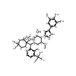 CO[C@H]1C[SH]([C@@H](c2nccc(C(F)(F)F)c2C)C2(O)CCC(F)(F)CC2)[C@H](CO)[C@H](O)[C@@H]1n1cc(-c2cc(F)c(F)c(F)c2)nn1